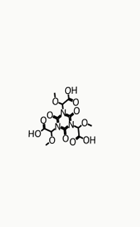 COC(C(=O)O)n1c(=O)n(C(OC)C(=O)O)c(=O)n(C(OC)C(=O)O)c1=O